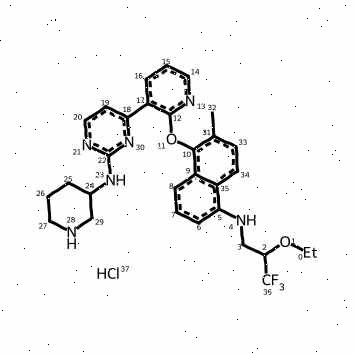 CCOC(CNc1cccc2c(Oc3ncccc3-c3ccnc(NC4CCCNC4)n3)c(C)ccc12)C(F)(F)F.Cl